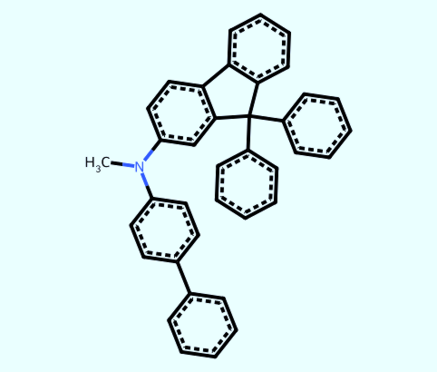 CN(c1ccc(-c2ccccc2)cc1)c1ccc2c(c1)C(c1ccccc1)(c1ccccc1)c1ccccc1-2